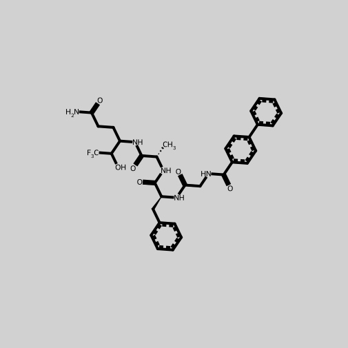 C[C@H](NC(=O)[C@H](Cc1ccccc1)NC(=O)CNC(=O)c1ccc(-c2ccccc2)cc1)C(=O)NC(CCC(N)=O)C(O)C(F)(F)F